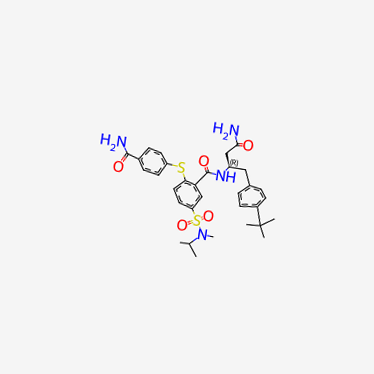 CC(C)N(C)S(=O)(=O)c1ccc(Sc2ccc(C(N)=O)cc2)c(C(=O)N[C@@H](CC(N)=O)Cc2ccc(C(C)(C)C)cc2)c1